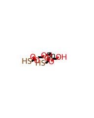 O=C(CS)OCCO.O=C(CS)OCCO.[CH3][Sn][CH3]